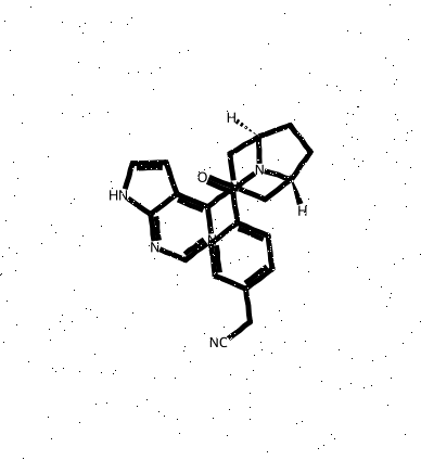 N#CCc1ccc(C(=O)N2[C@@H]3CC[C@@H]2CN(c2ncnc4[nH]ccc24)C3)cc1